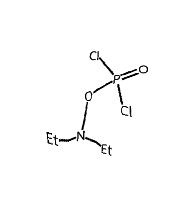 CCN(CC)OP(=O)(Cl)Cl